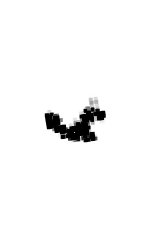 CCOc1cc(-c2csc(NC(C)C)n2)nc2cc(OCCN3CCOCC3)ccc12